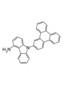 Nc1cccc2c1c1ccccc1n2-c1ccc2c3ccccc3c3ccccc3c2c1